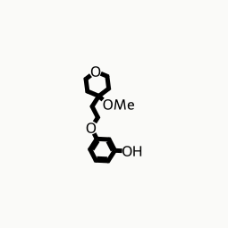 COC1(CCOc2cccc(O)c2)CCOCC1